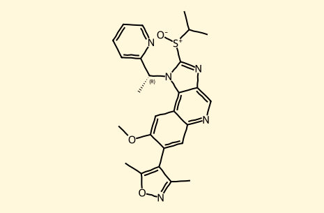 COc1cc2c(cc1-c1c(C)noc1C)ncc1nc([S+]([O-])C(C)C)n([C@H](C)c3ccccn3)c12